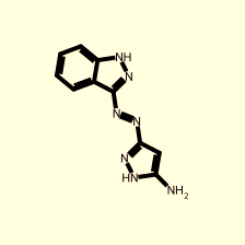 Nc1cc(N=Nc2n[nH]c3ccccc23)n[nH]1